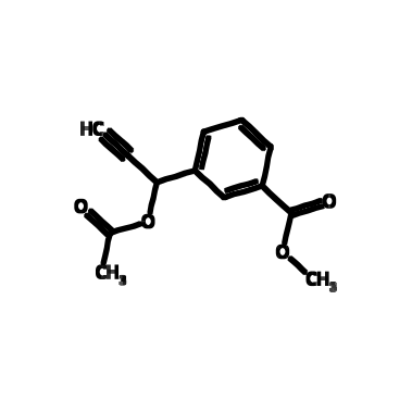 C#CC(OC(C)=O)c1cccc(C(=O)OC)c1